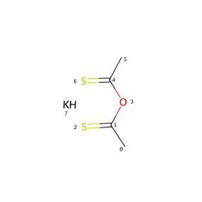 CC(=S)OC(C)=S.[KH]